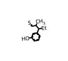 CCC(c1cccc(O)c1)C(C)C=S